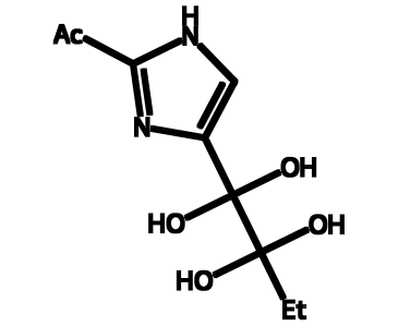 CCC(O)(O)C(O)(O)c1c[nH]c(C(C)=O)n1